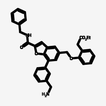 CCOC(=O)Cc1ccccc1OCc1cc(-c2cccc(CN)c2)c2oc(C(=O)NCc3ccccc3)cc2c1